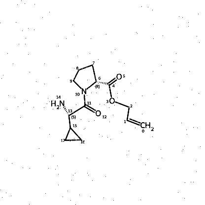 C=CCOC(=O)[C@H]1CCCN1C(=O)[C@@H](N)C1CC1